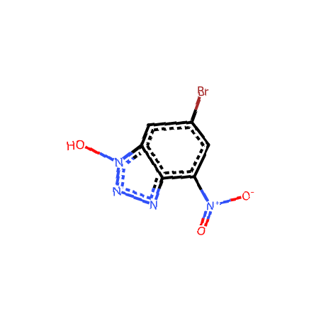 O=[N+]([O-])c1cc(Br)cc2c1nnn2O